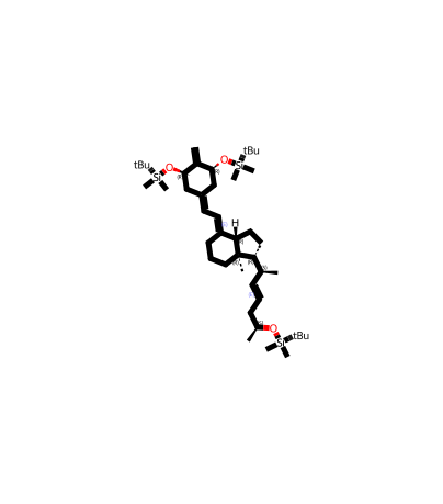 C=C1[C@H](O[Si](C)(C)C(C)(C)C)CC(=C/C=C2\CCC[C@]3(C)[C@@H]([C@@H](C)/C=C/C[C@H](C)O[Si](C)(C)C(C)(C)C)CC[C@@H]23)C[C@H]1O[Si](C)(C)C(C)(C)C